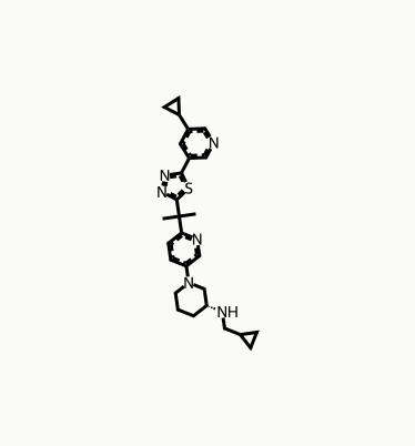 CC(C)(c1ccc(N2CCC[C@@H](NCC3CC3)C2)cn1)c1nnc(-c2cncc(C3CC3)c2)s1